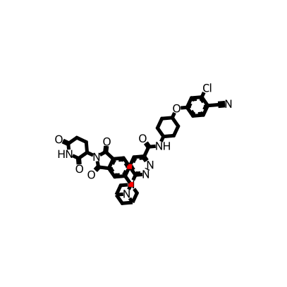 N#Cc1ccc(OC2CCC(NC(=O)c3ccc(N4CC5CC(C4)N5Cc4ccc5c(c4)C(=O)N(C4CCC(=O)NC4=O)C5=O)nn3)CC2)cc1Cl